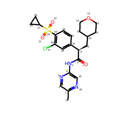 Cc1cnc(NC(=O)[C@H](CC2CCOCC2)c2ccc(S(=O)(=O)C3CC3)c(Cl)c2)cn1